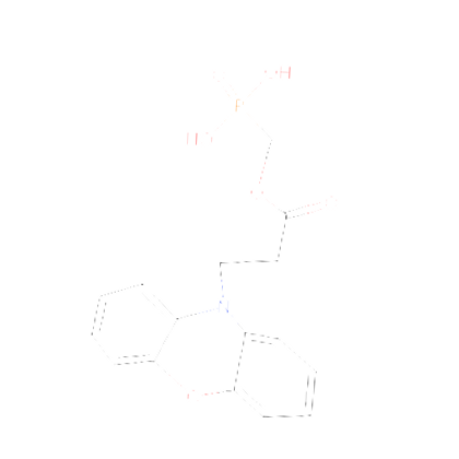 O=C(CCN1c2ccccc2Oc2ccccc21)OCP(=O)(O)O